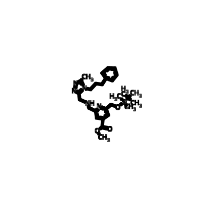 COC(=O)c1cc(CNCc2nnc(C)n2CCCc2ccccc2)nc(CO[Si](C)(C)C(C)(C)C)c1